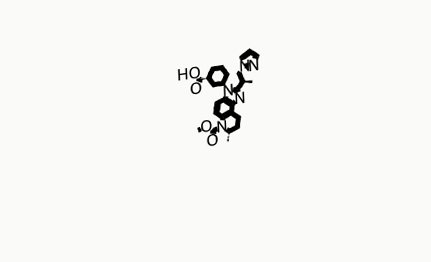 COC(=O)N1c2ccc3c(nc([C@H](C)Cn4cccn4)n3[C@@H]3CCC[C@@H](C(=O)O)C3)c2CC[C@@H]1C